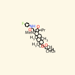 CN/C(=C\C(=O)Nc1ccc(F)cc1)C12CCC3C(CCC4C3(C)CCC3C(C)(C)C(OC(=O)CC(C)(C)C=O)CCC34C)C1=C(C(C)C)C(=O)C2